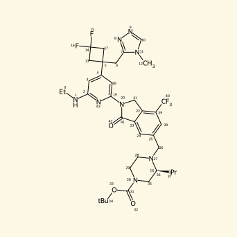 CCNc1cc(C2(Cc3nncn3C)CC(F)(F)C2)cc(N2Cc3c(cc(CN4CCN(C(=O)OC(C)(C)C)C[C@@H]4C(C)C)cc3C(F)(F)F)C2=O)n1